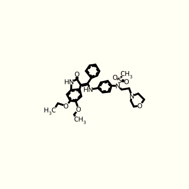 CCOc1cc2c(cc1OCC)C(=C(Nc1ccc(N(CCN3CCOCC3)S(C)(=O)=O)cc1)c1ccccc1)C(=O)N2